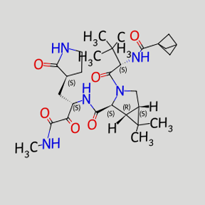 CNC(=O)C(=O)[C@H](C[C@@H]1CCNC1=O)NC(=O)[C@@H]1[C@@H]2[C@H](CN1C(=O)[C@@H](NC(=O)C13CC(C1)C3)C(C)(C)C)C2(C)C